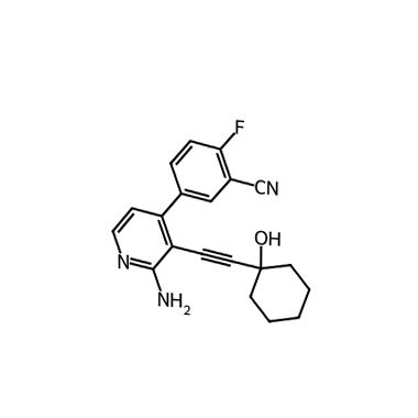 N#Cc1cc(-c2ccnc(N)c2C#CC2(O)CCCCC2)ccc1F